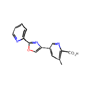 Cc1cc(-c2coc(-c3ccccn3)n2)cnc1C(=O)O